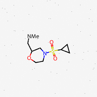 CNCC1CN(S(=O)(=O)C2CC2)CCO1